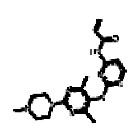 C=CC(=O)Nc1ccnc(Sc2c(C)nc(N3CCN(C)CC3)nc2C)n1